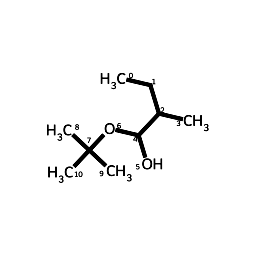 CCC(C)C(O)OC(C)(C)C